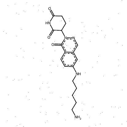 NCCCCCNc1ccc2c(=O)n(C3CCC(=O)NC3=O)ncc2c1